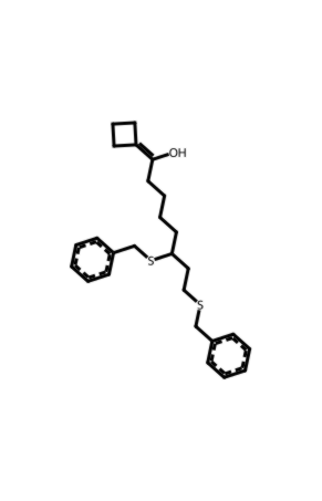 OC(CCCCC(CCSCc1ccccc1)SCc1ccccc1)=C1CCC1